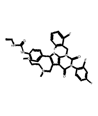 CCNC(=O)Nc1ccc(-c2sc3c(c2CN(C)CCOC)c(=O)n(-c2ccc(F)cc2F)c(=O)n3Cc2c(F)cccc2F)cc1